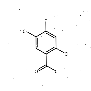 O=C(Cl)c1cc(Cl)c(F)cc1Cl